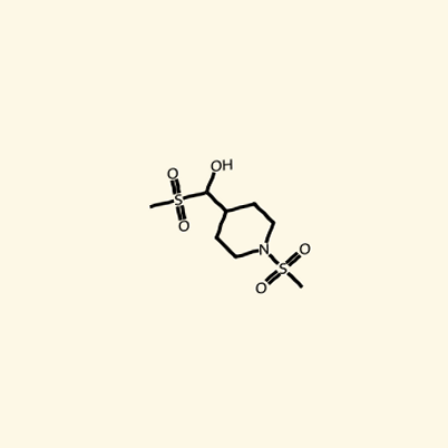 CS(=O)(=O)C(O)C1CCN(S(C)(=O)=O)CC1